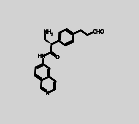 NC[C@@H](C(=O)Nc1ccc2cnccc2c1)c1ccc(CCC=O)cc1